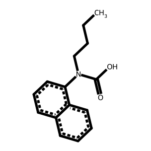 CCCCN(C(=O)O)c1cccc2ccccc12